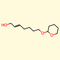 OC/C=C/CCCCOC1CCCCO1